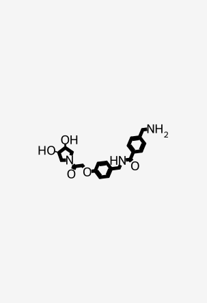 NCc1ccc(C(=O)NCc2ccc(OCC(=O)N3C[C@H](O)[C@@H](O)C3)cc2)cc1